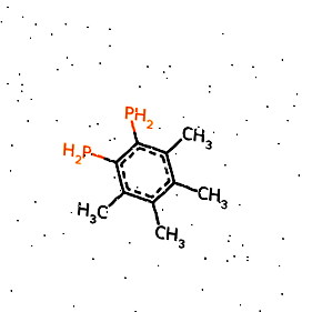 Cc1c(C)c(C)c(P)c(P)c1C